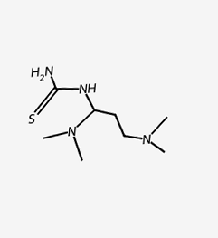 CN(C)CCC(NC(N)=S)N(C)C